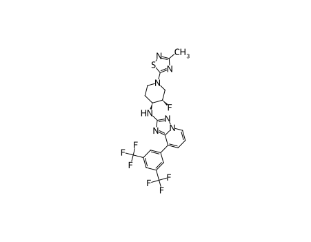 Cc1nsc(N2CC[C@H](Nc3nc4c(-c5cc(C(F)(F)F)cc(C(F)(F)F)c5)cccn4n3)[C@H](F)C2)n1